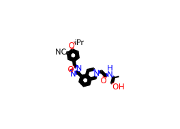 CC(C)Oc1ccc(-c2nc(-c3cccc4c3CCN(CC(=O)N[C@@H](C)CO)C4)no2)cc1C#N